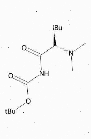 CC[C@H](C)[C@@H](C(=O)NC(=O)OC(C)(C)C)N(C)C